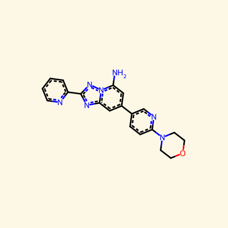 Nc1cc(-c2ccc(N3CCOCC3)nc2)cc2nc(-c3ccccn3)nn12